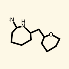 [N]C1CCCCC(CC2CCCCO2)N1